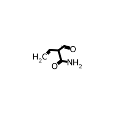 C=CC([C]=O)C(N)=O